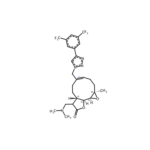 CN(C)CC1C(=O)O[C@H]2[C@H]1CC/C(Cn1cc(-c3cc(C(F)(F)F)cc(C(F)(F)F)c3)nn1)=C\CC[C@@]1(C)O[C@@H]21